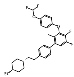 CC[C@H]1CC[C@H](CCc2ccc(-c3cc(F)c(F)c(Oc4ccc(OC(F)F)cc4)c3C)cc2)CC1